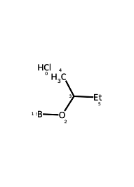 Cl.[B]OC(C)CC